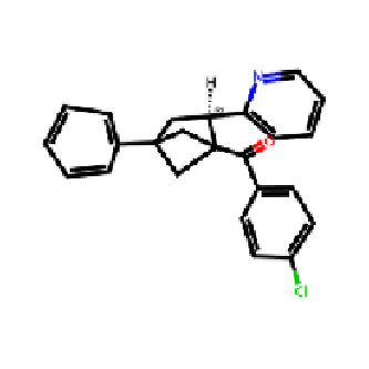 O=C(c1ccc(Cl)cc1)C12CC(c3ccccc3)(C[C@H]1c1ccccn1)C2